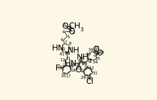 CS(=O)(=O)CCCC1CN[C@@H](CCc2c(F)cccc2NC(=O)[C@@H](N)[C@@H](c2ccc(Cl)cc2)C2CCS(=O)(=O)CC2)CN1